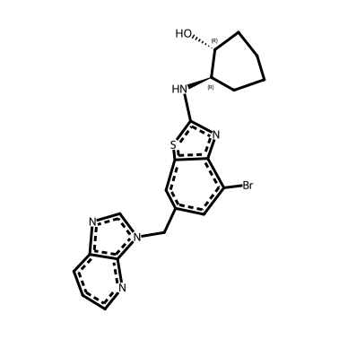 O[C@@H]1CCCC[C@H]1Nc1nc2c(Br)cc(Cn3cnc4cccnc43)cc2s1